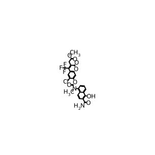 COC(=O)Cc1c(C(F)(F)F)c2cc(Cl)c(OC(=O)N(C)c3cccc4c(O)c(C(N)=O)ccc34)cc2oc1=O